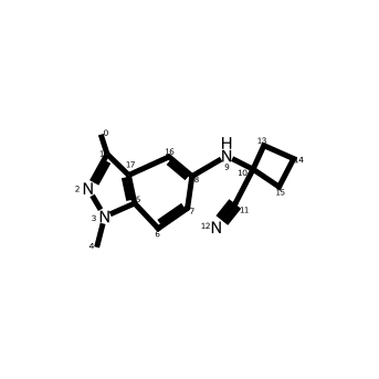 Cc1nn(C)c2ccc(NC3(C#N)CCC3)cc12